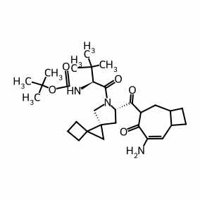 CC(C)(C)OC(=O)N[C@H](C(=O)N1C[C@]2(C[C@H]1C(=O)C1CC3CCC3C=C(N)C1=O)CC21CCC1)C(C)(C)C